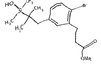 COC(=O)CCc1cc(CC(C)(C)[Si](C)(C)O)ccc1Br